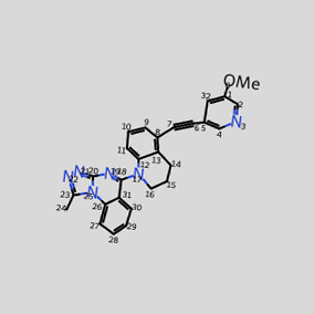 COc1cncc(C#Cc2cccc3c2CCCN3c2nc3nnc(C)n3c3ccccc23)c1